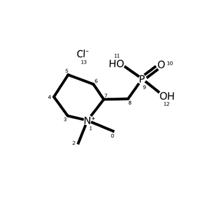 C[N+]1(C)CCCCC1CP(=O)(O)O.[Cl-]